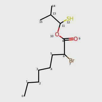 CCCCCCC(Br)C(=O)OC(S)C(C)C